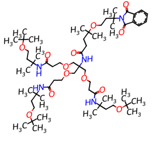 CC(C)(CCOC(C)(C)C)NC(=O)CCOCC(COCCC(=O)NC(C)(C)CCOC(C)(C)C)(COCCC(=O)NC(C)(C)CCOC(C)(C)C)NC(=O)CCC(C)(C)OCCC(C)(C)N1C(=O)c2ccccc2C1=O